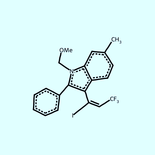 COCn1c(-c2ccccc2)c(/C(I)=C\C(F)(F)F)c2ccc(C)cc21